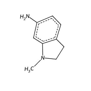 CN1CCc2ccc(N)cc21